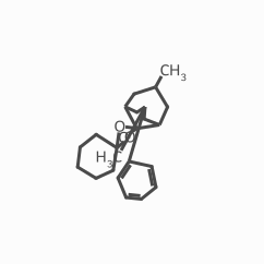 CC1CC2CC(C)(c3ccccc3)CC(C1)C21OOC2(CCCCC2)O1